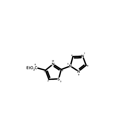 CCOC(=O)c1csc(-n2cncn2)n1